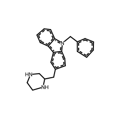 c1ccc(Cn2c3ccccc3c3cc(CC4CNCCN4)ccc32)cc1